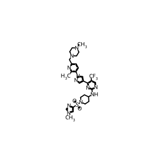 Cc1nc(CN2CCN(C)CC2)ccc1-n1cc(-c2nc(NC3CCN(S(=O)(=O)c4cn(C)cn4)CC3)ncc2C(F)(F)F)cn1